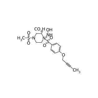 CC#CCOc1ccc(S(=O)(=O)[N+]2(NO)CCN(S(C)(=O)=O)CC2C(=O)O)cc1